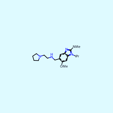 CNc1nc2cc(CNCCN3CCCC3)c(OC)cc2n1C(C)C